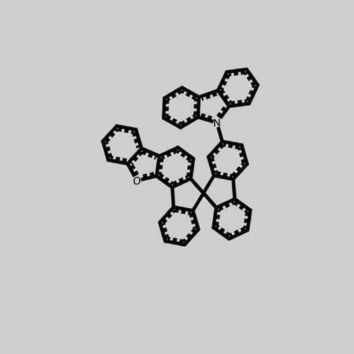 c1ccc2c(c1)-c1ccc(-n3c4ccccc4c4ccccc43)cc1C21c2ccccc2-c2c1ccc1c2oc2ccccc21